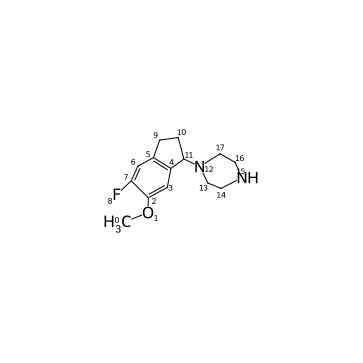 COc1cc2c(cc1F)CCC2N1CCNCC1